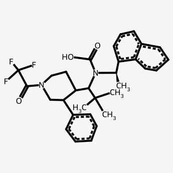 C[C@H](c1cccc2ccccc12)N(C(=O)O)C(C1CCN(C(=O)C(F)(F)F)CC1c1ccccc1)C(C)(C)C